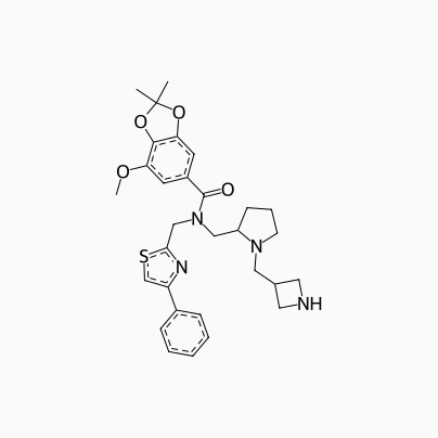 COc1cc(C(=O)N(Cc2nc(-c3ccccc3)cs2)CC2CCCN2CC2CNC2)cc2c1OC(C)(C)O2